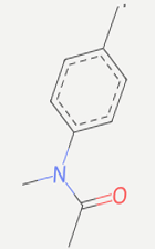 [CH2]c1ccc(N(C)C(C)=O)cc1